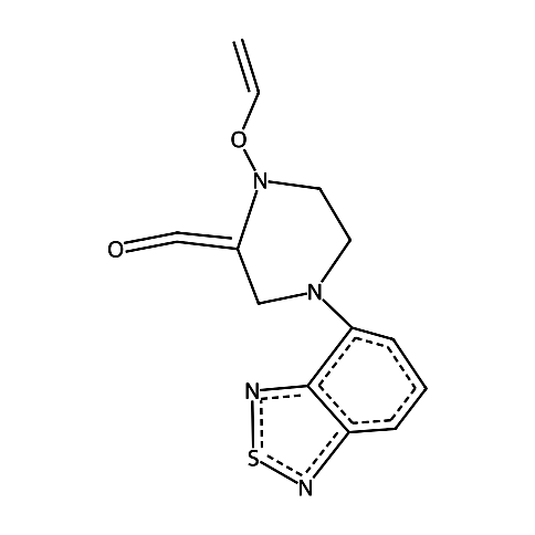 C=CON1CCN(c2cccc3nsnc23)CC1=C=O